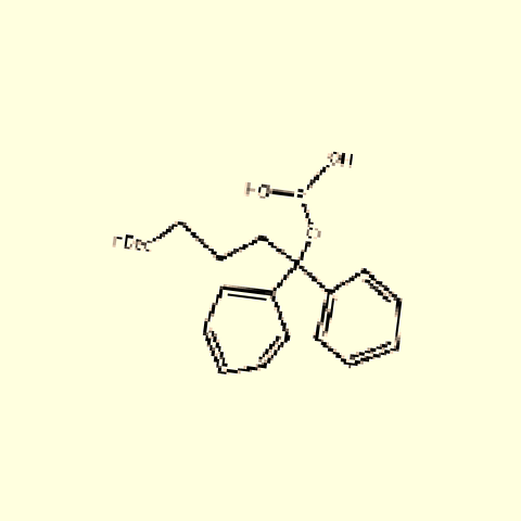 CCCCCCCCCCCCCC(OP(O)O)(c1ccccc1)c1ccccc1